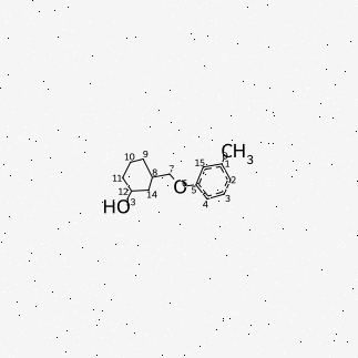 Cc1cccc(OCC2CCCC(O)C2)c1